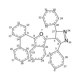 c1ccc(C2=C(c3oc(-c4ccccc4-c4ccccc4)c4ccccc34)C(c3ccccc3)N=N2)cc1